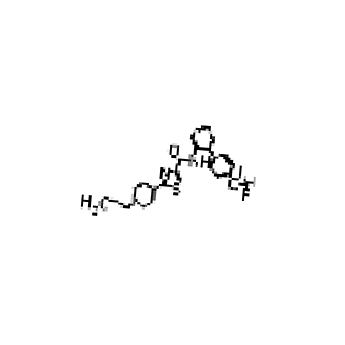 CCCN1CCC(c2nc(C(=O)Nc3ccccc3-c3ccc(OC(F)(F)F)cc3)cs2)CC1